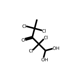 CC(Cl)(Cl)C(=O)C(Cl)(Cl)C(O)O